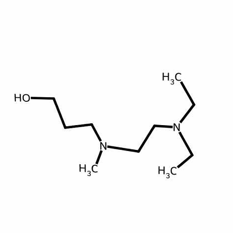 CCN(CC)CCN(C)CCCO